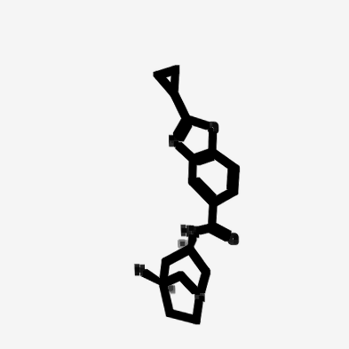 O=C(N[C@@H]1C[C@H]2CCN(C2)C1)c1ccc2oc(C3CC3)nc2c1